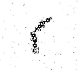 CN[C@@H](C)C(=O)Nc1ccc(C2=CN3C(=O)c4cc(OC)c(OCCCOc5cc6c(cc5OC)C(=O)N5C=C(c7ccc(OC)cc7)C[C@H]5C=N6)cc4N=C[C@@H]3C2)cc1